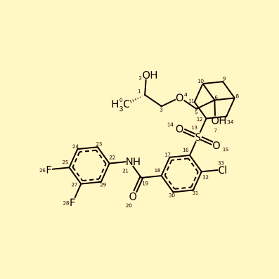 C[C@H](O)COCC1(O)C2CC1CC(S(=O)(=O)c1cc(C(=O)Nc3ccc(F)c(F)c3)ccc1Cl)C2